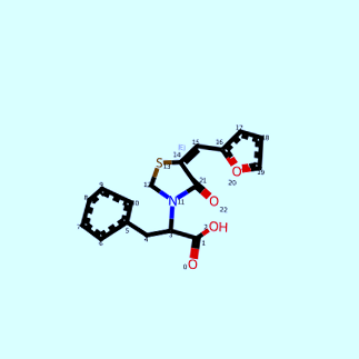 O=C(O)C(Cc1ccccc1)N1CS/C(=C/c2ccco2)C1=O